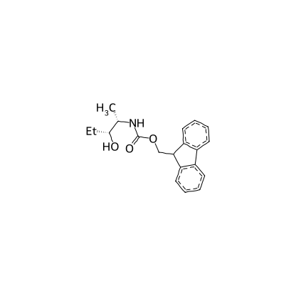 CC[C@@H](O)[C@H](C)NC(=O)OCC1c2ccccc2-c2ccccc21